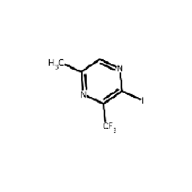 Cc1cnc(I)c(C(F)(F)F)n1